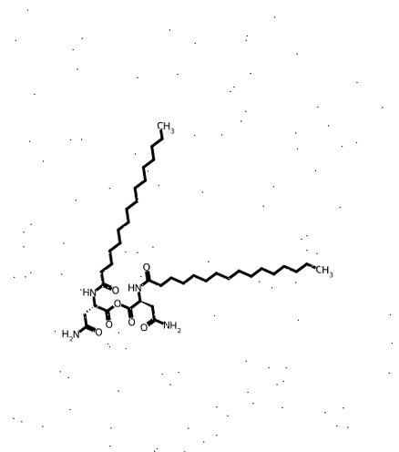 CCCCCCCCCCCCCCCC(=O)N[C@@H](CC(N)=O)C(=O)OC(=O)[C@H](CC(N)=O)NC(=O)CCCCCCCCCCCCCCC